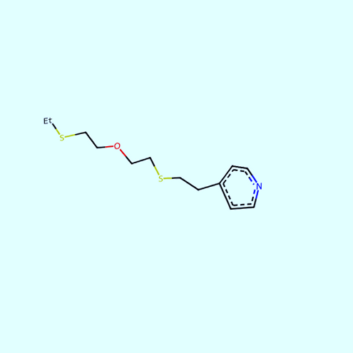 CCSCCOCCSCCc1ccncc1